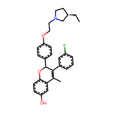 CC[C@@H]1CCN(CCOc2ccc(C3Oc4ccc(O)cc4C(C)=C3c3cccc(F)c3)cc2)C1